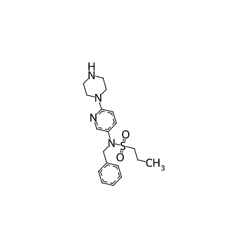 CCCS(=O)(=O)N(Cc1ccccc1)c1ccc(N2CCNCC2)nc1